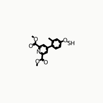 COC(=O)c1cc(-c2ccc(OS)cc2C)cc(C(=O)OC)n1